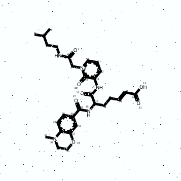 CC(C)CCNC(=O)Cn1cccc(NC(=O)C(CC/C=C/C(=O)O)NC(=O)c2ccc3c(c2)OCCN3C)c1=O